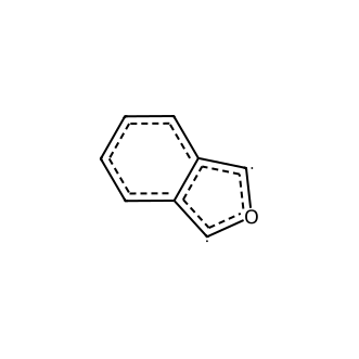 [c]1o[c]c2ccccc12